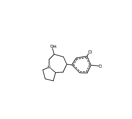 OC1CC(c2ccc(Cl)c(Cl)c2)CC2CCCN2C1